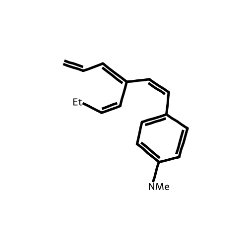 C=C/C=C(\C=C/CC)/C=C\c1ccc(NC)cc1